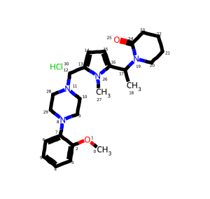 COc1ccccc1N1CCN(Cc2ccc(C(C)N3CCCCC3=O)n2C)CC1.Cl